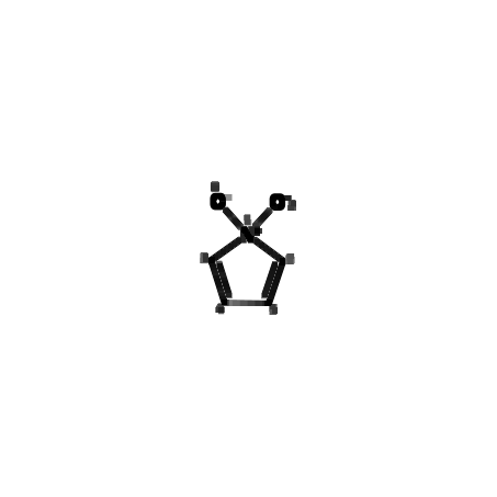 [O-][N+]1([O-])C=CC=C1